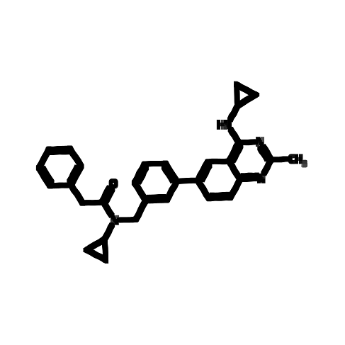 Cc1nc(NC2CC2)c2cc(-c3cccc(CN(C(=O)Cc4ccccc4)C4CC4)c3)ccc2n1